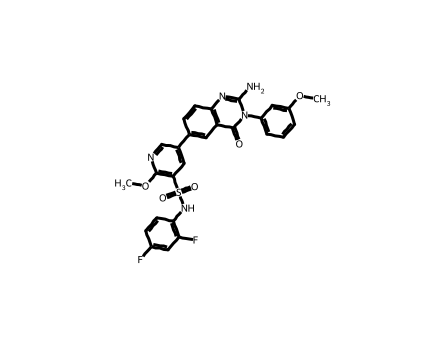 COc1cccc(-n2c(N)nc3ccc(-c4cnc(OC)c(S(=O)(=O)Nc5ccc(F)cc5F)c4)cc3c2=O)c1